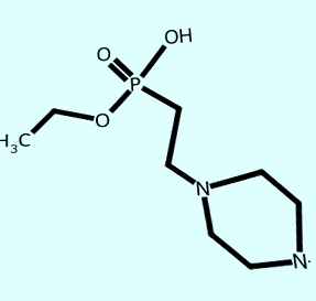 CCOP(=O)(O)CCN1CC[N]CC1